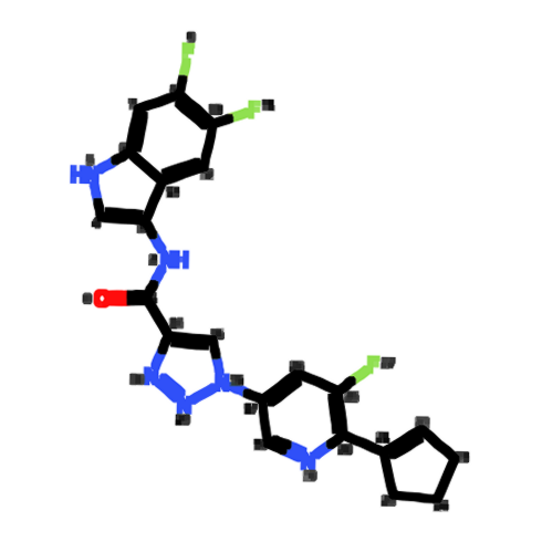 O=C(Nc1c[nH]c2cc(F)c(F)cc12)c1cn(-c2cnc(C3=CCCC3)c(F)c2)nn1